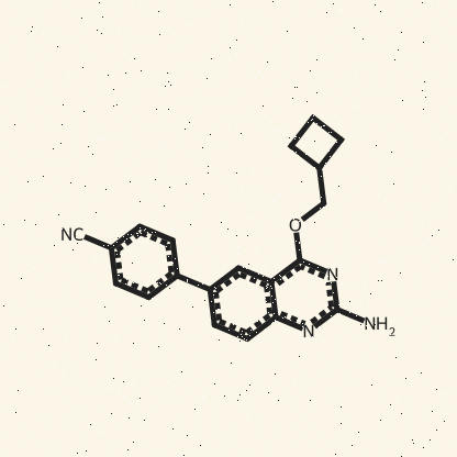 N#Cc1ccc(-c2ccc3nc(N)nc(OCC4CCC4)c3c2)cc1